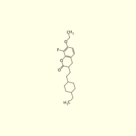 CCOc1ccc2c(c1F)OC(=O)C(CCC1CCC(CC)CC1)C2